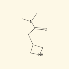 CN(C)C(=O)CC1CNC1